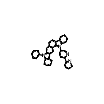 c1ccc(-n2c3ccccc3c3cc4c(ccc5c6ccccc6n(-c6ccc(-c7ccccn7)nc6)c45)cc32)cc1